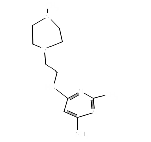 Cc1nc(N)cc(NCCN2CCN(C)CC2)n1